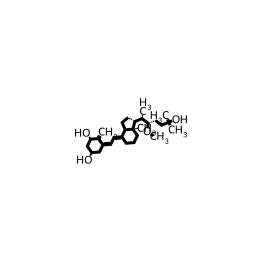 C=C1/C(=C\C=C2CCC[C@@]3(C)C2CC[C@@H]3[C@H](C)[C@H](CCC(C)(C)O)OC)C[C@@H](O)C[C@H]1O